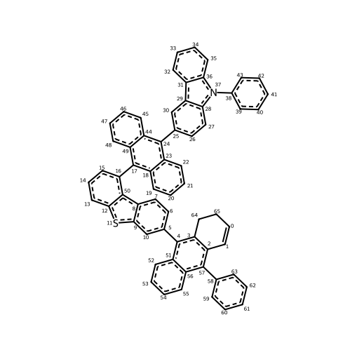 C1=Cc2c(c(-c3ccc4c(c3)sc3cccc(-c5c6ccccc6c(-c6ccc7c(c6)c6ccccc6n7-c6ccccc6)c6ccccc56)c34)c3ccccc3c2-c2ccccc2)CC1